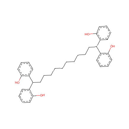 Oc1ccccc1C(CCCCCCCCCCC(c1ccccc1O)c1ccccc1O)c1ccccc1O